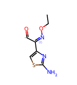 CCO/N=C(\[C]=O)c1csc(N)n1